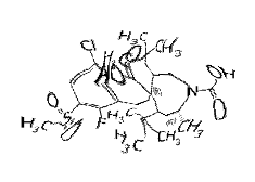 C[C@@H]1C(C(C)(C)C)[C@](Cc2nc(Cl)cc(S(C)(=O)=O)c2F)(C(=O)O)C(C(C)(C)C)CN1C(=O)O